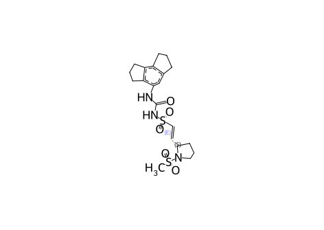 CS(=O)(=O)N1CCC[C@H]1/C=C/S(=O)(=O)NC(=O)Nc1cc2c(c3c1CCC3)CCC2